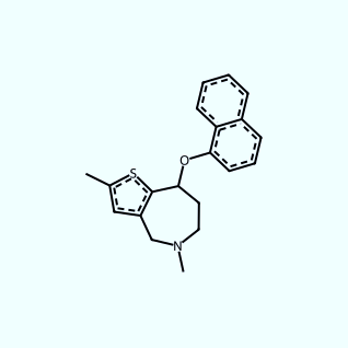 Cc1cc2c(s1)C(Oc1cccc3ccccc13)CCN(C)C2